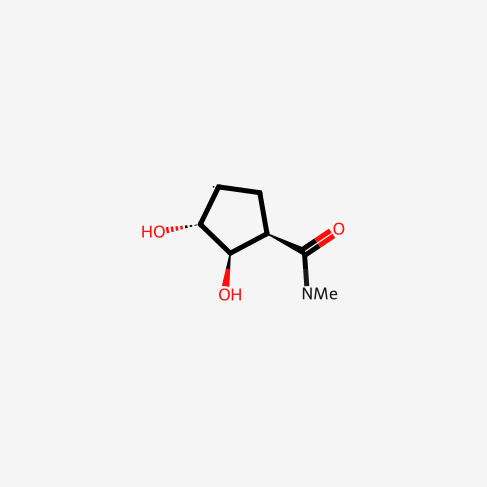 CNC(=O)[C@@H]1C[CH][C@@H](O)[C@@H]1O